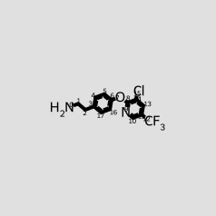 NCCc1ccc(Oc2ncc(C(F)(F)F)cc2Cl)cc1